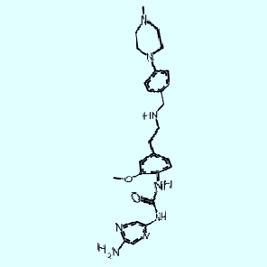 COc1cc(CCNCc2ccc(N3CCN(C)CC3)cc2)ccc1NC(=O)Nc1cnc(N)cn1